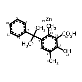 Cc1cc(C(C)(C)c2ccccc2)c(C)c(C(=O)O)c1O.[Zn]